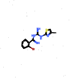 Cc1csc(NC(=N)NC(=N)c2ccccc2Br)n1